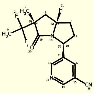 CC(F)(F)[C@]1(C)C[C@@H]2CC[C@@H](c3cncc(C#N)c3)N2C1=O